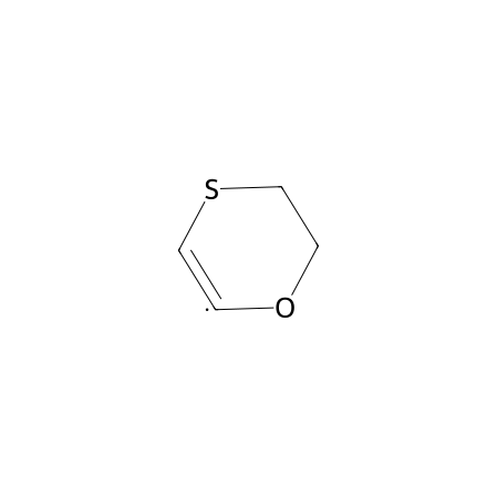 [C]1=CSCCO1